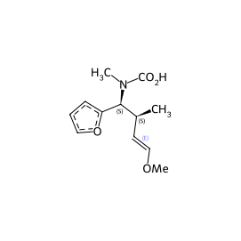 CO/C=C/[C@H](C)[C@@H](c1ccco1)N(C)C(=O)O